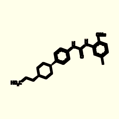 COc1ccc(C)cc1NC(=O)Nc1ccc([C@H]2CC[C@H](CCC(=O)O)CC2)cc1